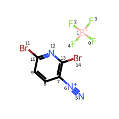 F[B-](F)(F)F.N#[N+]c1ccc(Br)nc1Br